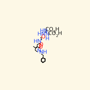 CC1=C(CC(=O)NCCONC(NC(=O)O)NC(=O)O)C(=O)N(NCCc2ccccc2)CC1